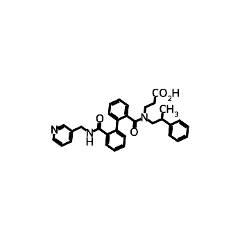 CC(CN(CCC(=O)O)C(=O)c1ccccc1-c1ccccc1C(=O)NCc1cccnc1)c1ccccc1